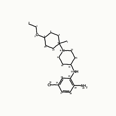 CCOC1CCC(C)(N2CCC(Nc3cc(Cl)ccc3N)CC2)CC1